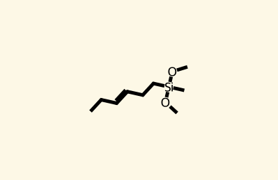 CCC=CCC[Si](C)(OC)OC